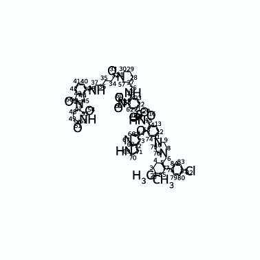 CC1(C)CCC(CN2CCN(c3ccc(C(=O)NS(=O)(=O)c4ccc(NCC5CCCN(C(=O)CCCCNc6cccc7c6CN(C6CCC(=O)NC6=O)C7=O)C5)c([N+](=O)[O-])c4)c(Oc4cnc5[nH]ccc5c4)c3)CC2)=C(c2ccc(Cl)cc2)C1